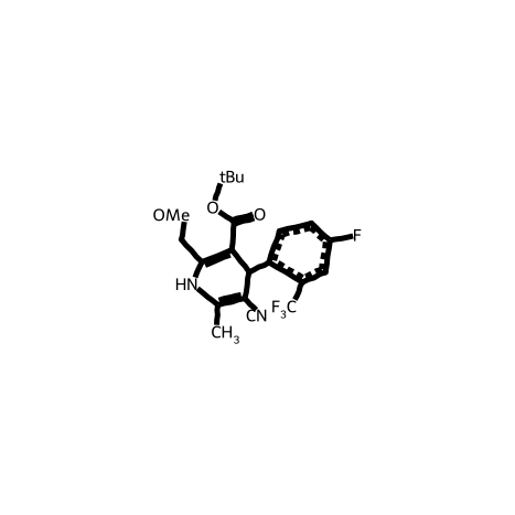 COCC1=C(C(=O)OC(C)(C)C)C(c2ccc(F)cc2C(F)(F)F)C(C#N)=C(C)N1